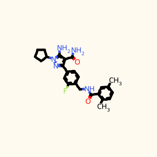 Cc1ccc(C)c(C(=O)NCc2ccc(-c3nn(C4CCCC4)c(N)c3C(N)=O)cc2F)c1